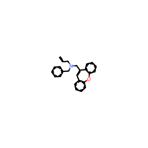 C=CCN(CC1=Cc2ccccc2Oc2ccccc21)Cc1ccccc1